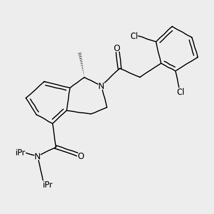 CC(C)N(C(=O)c1cccc2c1CCN(C(=O)Cc1c(Cl)cccc1Cl)[C@H]2C)C(C)C